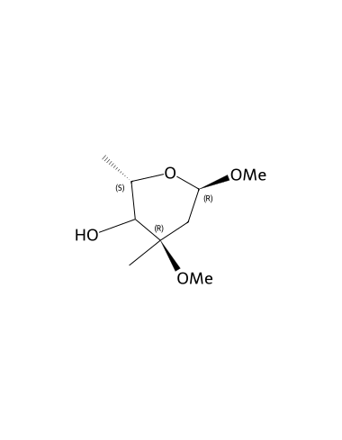 CO[C@H]1C[C@@](C)(OC)C(O)[C@H](C)O1